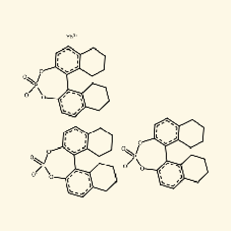 O=P1([O-])Oc2ccc3c(c2-c2c(ccc4c2CCCC4)O1)CCCC3.O=P1([O-])Oc2ccc3c(c2-c2c(ccc4c2CCCC4)O1)CCCC3.O=P1([O-])Oc2ccc3c(c2-c2c(ccc4c2CCCC4)O1)CCCC3.[Yb+3]